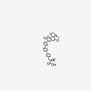 [C-]#[N+]/C(=C\c1ccc(-c2ccc(-c3ccc(-c4cc5cc6c7c(c5oc4=O)C(C)(C)CCN7CCC6(C)C)s3)s2)s1)C(=O)O